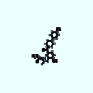 CC(Cc1cc(C(=O)N2CCC(c3ccc(C#N)cc3)CC2)ccc1C#N)NC(N)=O